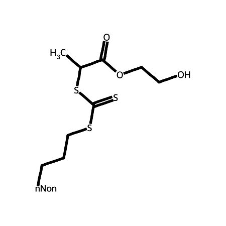 CCCCCCCCCCCCSC(=S)SC(C)C(=O)OCCO